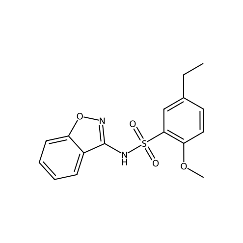 CCc1ccc(OC)c(S(=O)(=O)Nc2noc3ccccc23)c1